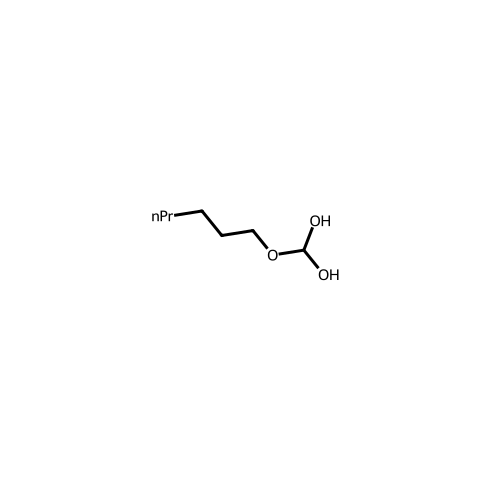 CCCCCCOC(O)O